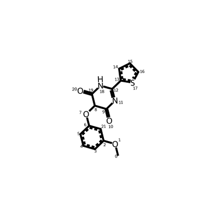 COc1cccc(OC2C(=O)N=C(c3cccs3)NC2=O)c1